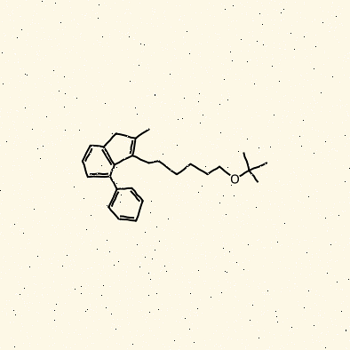 CC1=C(CCCCCCOC(C)(C)C)c2c(cccc2-c2ccccc2)[CH]1